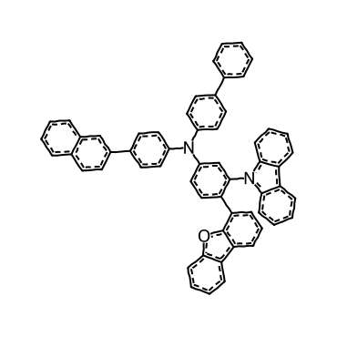 c1ccc(-c2ccc(N(c3ccc(-c4ccc5ccccc5c4)cc3)c3ccc(-c4cccc5c4oc4ccccc45)c(-n4c5ccccc5c5ccccc54)c3)cc2)cc1